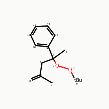 C=C(C)CC(C)(OOC(C)(C)C)c1ccccc1